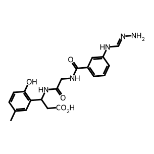 Cc1ccc(O)c(C(CC(=O)O)NC(=O)CNC(=O)c2cccc(NC=NN)c2)c1